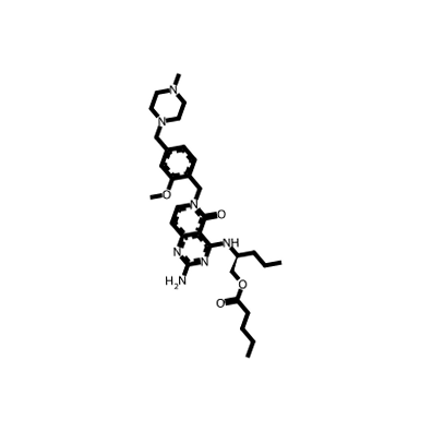 CCCCC(=O)OC[C@H](CCC)Nc1nc(N)nc2ccn(Cc3ccc(CN4CCN(C)CC4)cc3OC)c(=O)c12